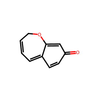 O=C1C=CC2=CC=CCOC2=C1